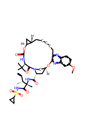 C=C[C@@H](C)[C@](C)(NC(=O)[C@H]1C[C@H]2CN1C(=O)[C@@H](C(C)(C)C)NC(=O)O[C@H]1C[C@@H]1CCCCCc1nc3ccc(OC)cc3nc1O2)C(=O)NS(=O)(=O)C1CC1